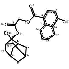 CCc1ccc(C(=O)OCC(=O)OC2(CC)C3CC4CC(C3)CC2C4)c2ccccc12